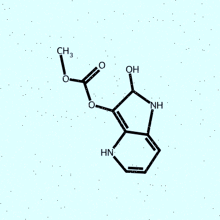 COC(=O)OC1=C2NC=CC=C2NC1O